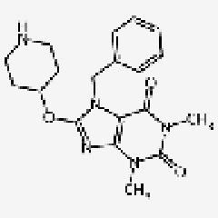 Cn1c(=O)c2c(nc(OC3CCNCC3)n2Cc2ccccc2)n(C)c1=O